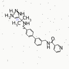 CC(C)(NSc1ccc(-c2cccc(CNC(=O)c3cccnc3)c2)cc1)/C(=C/N)NN